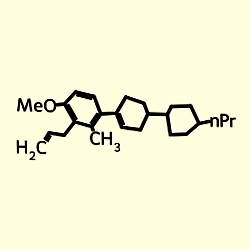 C=CCc1c(OC)ccc(C2=CCC(C3CCC(CCC)CC3)CC2)c1C